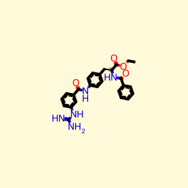 CCOC(=O)[C@H](Cc1ccc(NC(=O)c2cccc(NC(=N)N)c2)cc1)NC(=O)c1ccccc1